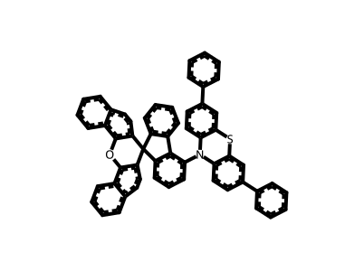 c1ccc(-c2ccc3c(c2)Sc2cc(-c4ccccc4)ccc2N3c2cccc3c2-c2ccccc2C32c3ccc4ccccc4c3Oc3c2ccc2ccccc32)cc1